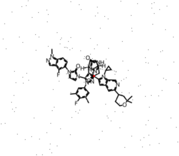 Cc1cc(-n2nc3c(c2-n2ccn(-c4ccc5c(cnn5C)c4F)c2=O)[C@@H]2CC[C@H](C3)N2C(=O)c2cc3cc(C4CCOC(C)(C)C4)ncc3n2[C@@]2(c3noc(=O)[nH]3)C[C@@H]2C)cc(C)c1F